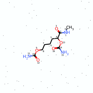 CNC(=O)C(CCCCOC(N)=O)OC(N)=O